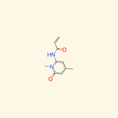 C=CC(=O)Nc1cc(C)cc(=O)n1C